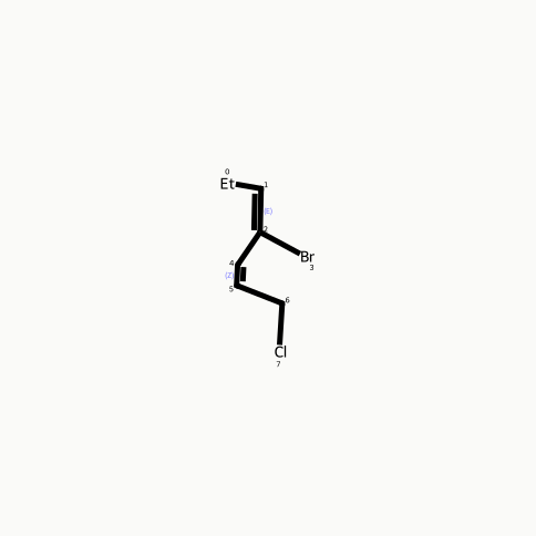 CC/C=C(Br)\C=C/CCl